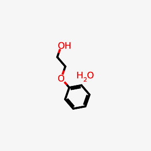 O.OCCOc1ccccc1